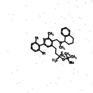 CCc1cccc(CC)c1-c1cc(CCC(C)(C)O[Si](C)(C)C(C)(C)C)c(CN(C)C2CCCc3ccccc32)c(C)n1